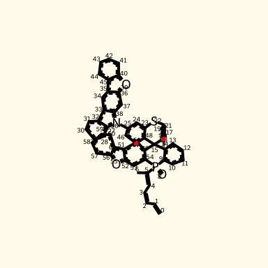 C=C/C=C\C=C(/C)P1(=O)c2ccccc2C2(c3ccccc3Sc3cc(-n4c5ccccc5c5cc6c(cc54)oc4ccccc46)ccc32)c2cc3c(cc21)oc1ccccc13